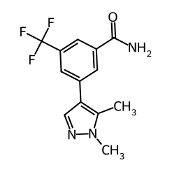 Cc1c(-c2cc(C(N)=O)cc(C(F)(F)F)c2)cnn1C